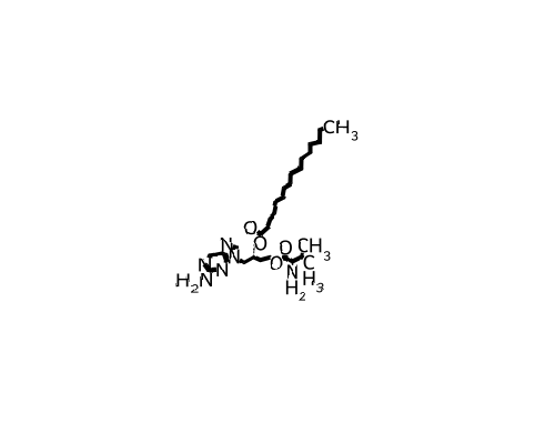 CCCCCC/C=C/CCCCCCCC(=O)OC[C@H](CCOC(=O)[C@@H](N)C(C)C)Cn1cnc2cnc(N)nc21